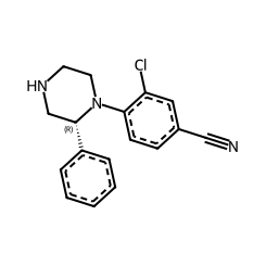 N#Cc1ccc(N2CCNC[C@H]2c2ccccc2)c(Cl)c1